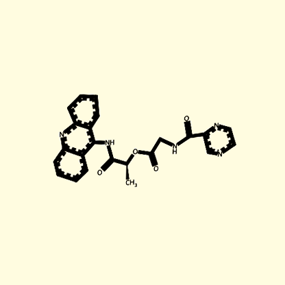 C[C@H](OC(=O)CNC(=O)c1cnccn1)C(=O)Nc1c2ccccc2nc2ccccc12